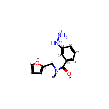 CN(Cc1ccco1)C(=O)c1cccc(NN)c1